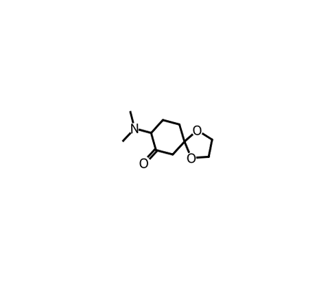 CN(C)C1CCC2(CC1=O)OCCO2